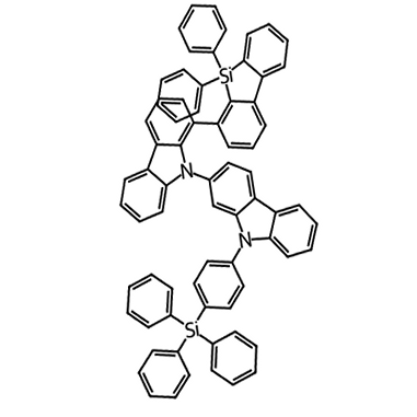 c1ccc([Si](c2ccccc2)(c2ccccc2)c2ccc(-n3c4ccccc4c4ccc(-n5c6ccccc6c6cccc(-c7cccc8c7[Si](c7ccccc7)(c7ccccc7)c7ccccc7-8)c65)cc43)cc2)cc1